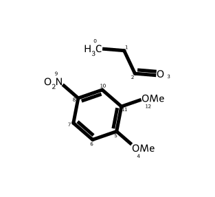 CCC=O.COc1ccc([N+](=O)[O-])cc1OC